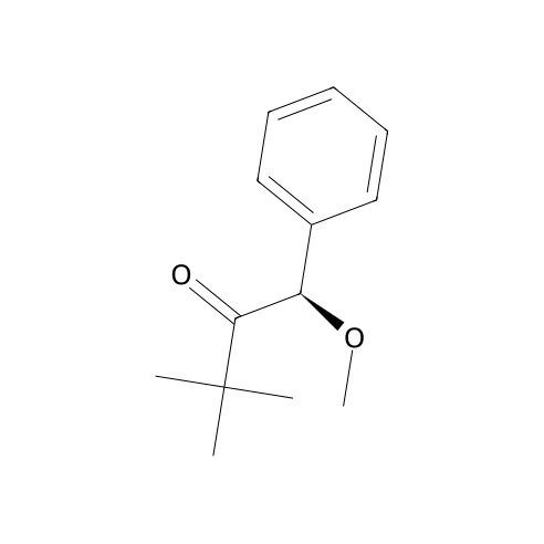 CO[C@@H](C(=O)C(C)(C)C)c1ccccc1